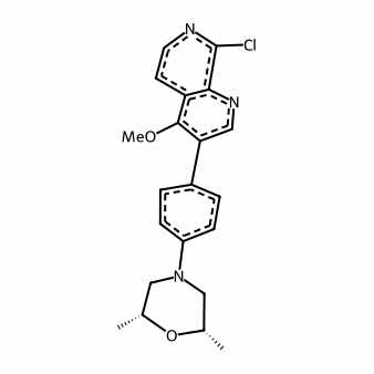 COc1c(-c2ccc(N3C[C@@H](C)O[C@@H](C)C3)cc2)cnc2c(Cl)nccc12